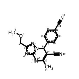 COCc1nc2n(n1)C(c1ccc(C#N)cc1)C(C#N)=C(C)N2